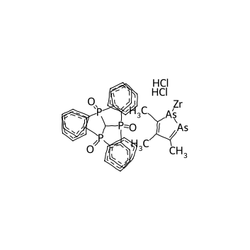 CC1=[As][As]([Zr])C(C)=C1C.Cl.Cl.O=P(c1ccccc1)(c1ccccc1)C(P(=O)(c1ccccc1)c1ccccc1)P(=O)(c1ccccc1)c1ccccc1